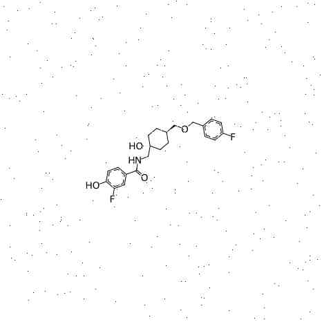 O=C(NC[C@]1(O)CC[C@H](COCc2ccc(F)cc2)CC1)c1ccc(O)c(F)c1